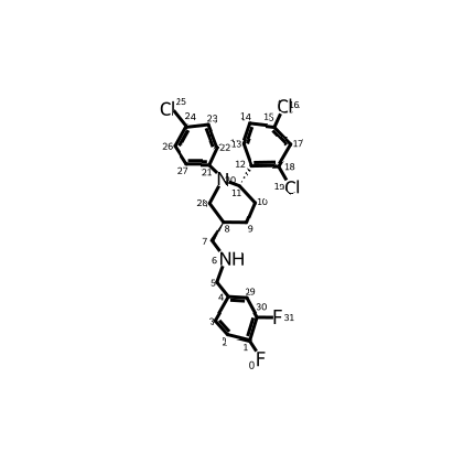 Fc1ccc(CNC[C@@H]2CC[C@@H](c3ccc(Cl)cc3Cl)N(c3ccc(Cl)cc3)C2)cc1F